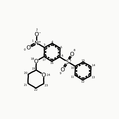 O=[N+]([O-])c1ccc(S(=O)(=O)c2ccccc2)cc1OC1CCCCO1